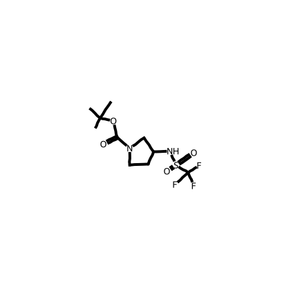 CC(C)(C)OC(=O)N1CCC(NS(=O)(=O)C(F)(F)F)C1